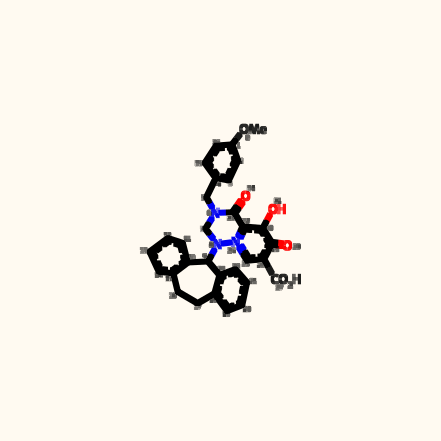 COc1ccc(CN2CN(C3c4ccccc4CCc4ccccc43)n3cc(C(=O)O)c(=O)c(O)c3C2=O)cc1